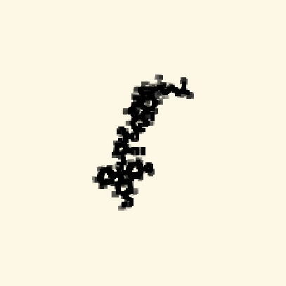 COc1ccc(C(OCC2CCC(C(=O)O[C@H]3CC[C@@]4(C)C(=CC[C@H]5[C@@H]6CC[C@H]([C@H](C)CCCC(C)C)[C@@]6(C)CC[C@@H]54)C3)N2O)(c2ccccc2)c2ccc(OC)cc2)cc1